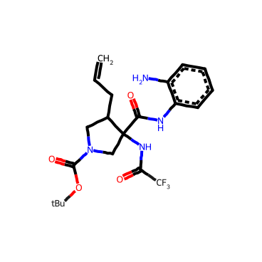 C=CCC1CN(C(=O)OC(C)(C)C)CC1(NC(=O)C(F)(F)F)C(=O)Nc1ccccc1N